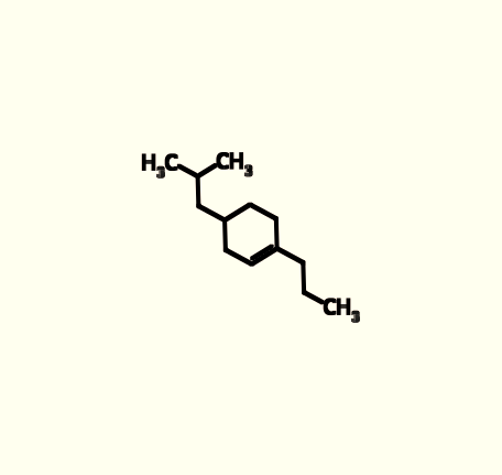 CCCC1=CCC(CC(C)C)CC1